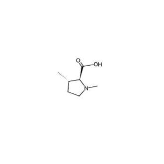 C[C@H]1CCN(C)[C@@H]1C(=O)O